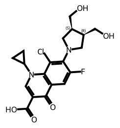 O=C(O)c1cn(C2CC2)c2c(Cl)c(N3C[C@@H](CO)[C@@H](CO)C3)c(F)cc2c1=O